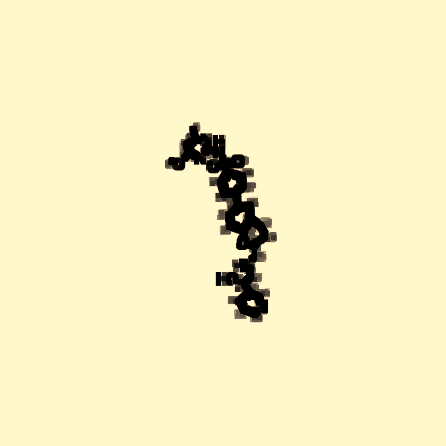 COc1cc(C)nc(NS(=O)(=O)c2ccc(-c3ccc4c(c3)CC[C@H](CNC[C@H](O)c3cccnc3)O4)cc2)n1